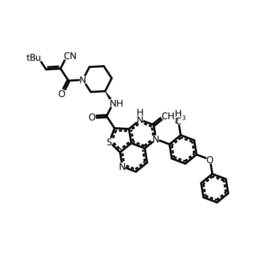 C=c1[nH]c2c(C(=O)N[C@@H]3CCCN(C(=O)/C(C#N)=C/C(C)(C)C)C3)sc3nccc(c32)n1-c1ccc(Oc2ccccc2)cc1C